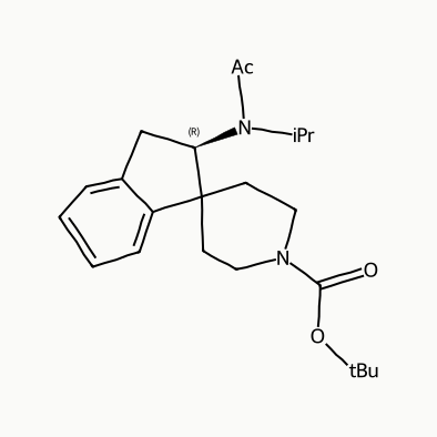 CC(=O)N(C(C)C)[C@@H]1Cc2ccccc2C12CCN(C(=O)OC(C)(C)C)CC2